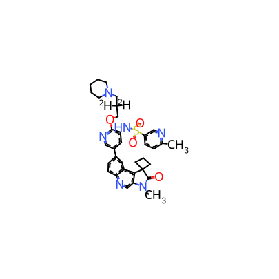 [2H]C([2H])(COc1ncc(-c2ccc3ncc4c(c3c2)C2(CCC2)C(=O)N4C)cc1NS(=O)(=O)c1ccc(C)nc1)CN1CCCCC1